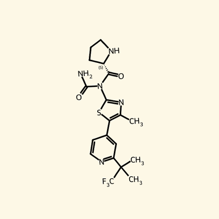 Cc1nc(N(C(N)=O)C(=O)[C@@H]2CCCN2)sc1-c1ccnc(C(C)(C)C(F)(F)F)c1